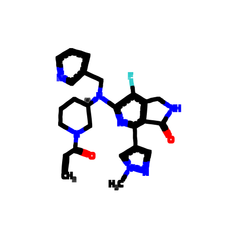 C=CC(=O)N1CCC[C@@H](N(Cc2cccnc2)c2nc(-c3cnn(C)c3)c3c(c2F)CNC3=O)C1